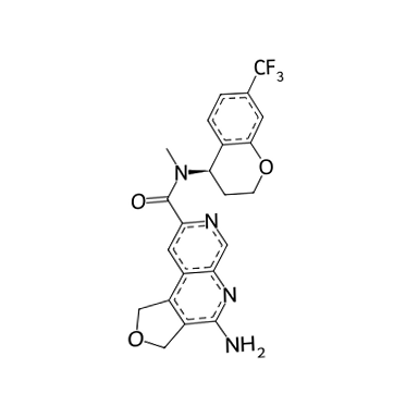 CN(C(=O)c1cc2c3c(c(N)nc2cn1)COC3)[C@@H]1CCOc2cc(C(F)(F)F)ccc21